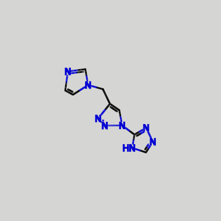 c1cn(Cc2cn(-c3nnc[nH]3)nn2)cn1